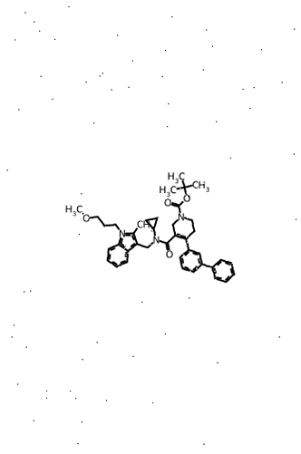 COCCCn1c(C)c(CN(C(=O)C2=C(c3cccc(-c4ccccc4)c3)CCN(C(=O)OC(C)(C)C)C2)C2CC2)c2ccccc21